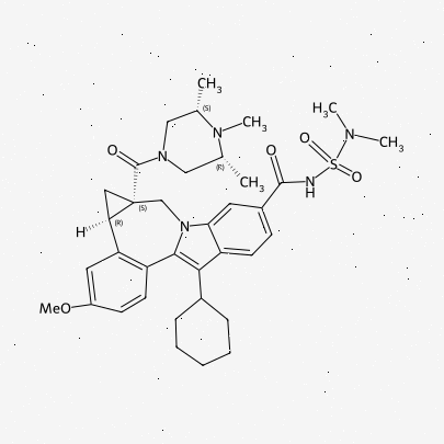 COc1ccc2c(c1)[C@H]1C[C@@]1(C(=O)N1C[C@@H](C)N(C)[C@@H](C)C1)Cn1c-2c(C2CCCCC2)c2ccc(C(=O)NS(=O)(=O)N(C)C)cc21